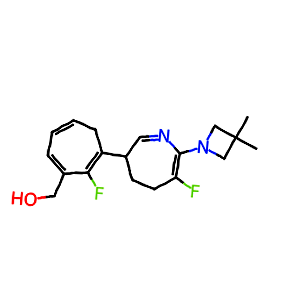 CC1(C)CN(C2=C(F)CCC(C3=C(F)C(CO)=CC=CC3)C=N2)C1